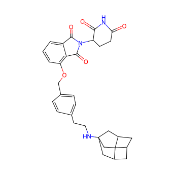 O=C1CCC(N2C(=O)c3cccc(OCc4ccc(CCNC56CC7CC8CC(C5)C87C6)cc4)c3C2=O)C(=O)N1